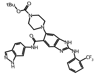 CC(C)(C)OC(=O)N1CCN(c2cc3[nH]c(Nc4ccccc4C(F)(F)F)nc3cc2C(=O)Nc2ccc3cn[nH]c3c2)CC1